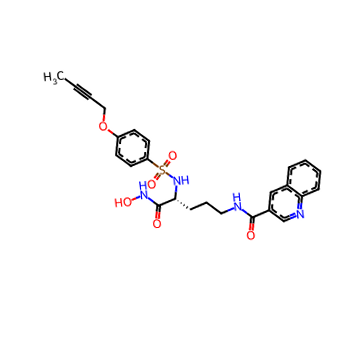 CC#CCOc1ccc(S(=O)(=O)N[C@H](CCCNC(=O)c2cnc3ccccc3c2)C(=O)NO)cc1